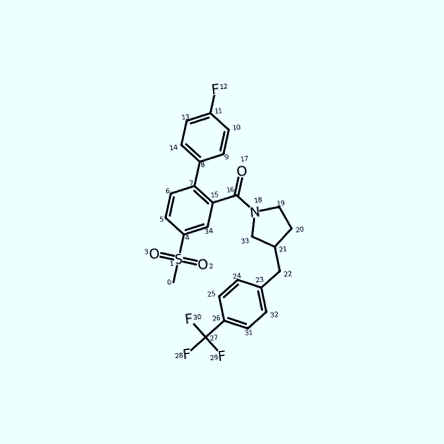 CS(=O)(=O)c1ccc(-c2ccc(F)cc2)c(C(=O)N2CCC(Cc3ccc(C(F)(F)F)cc3)C2)c1